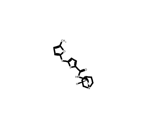 Cc1ccc(Sc2ccc(C(=O)N[C@H]3CN4CCC3CC4)s2)o1